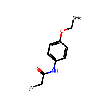 CSCOc1ccc(NC(=O)C[N+](=O)[O-])cc1